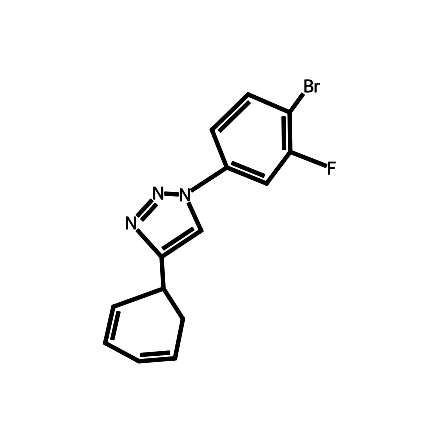 Fc1cc(-n2cc(C3C=CC=CC3)nn2)ccc1Br